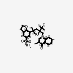 Cc1cn(CC(O)(CC(C)(C)c2cc(S(N)(=O)=O)cc3c2OCC3)C(F)(F)F)c2ccccc2c1=O